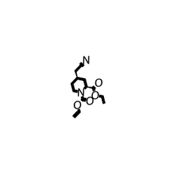 C=COC(=O)N1CC[C@@H](CC#N)C[C@H]1C(=O)OCC